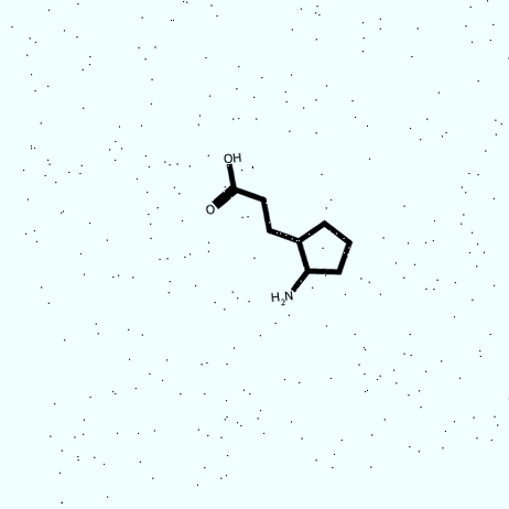 NC1CCCC1CCC(=O)O